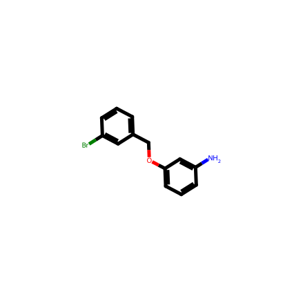 Nc1cccc(OCc2cccc(Br)c2)c1